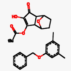 CC(C)(C)C(=O)OC1=C(O)C(=O)C2C3CCC(O3)C12.Cc1cc(C)cc(OCc2ccccc2)c1